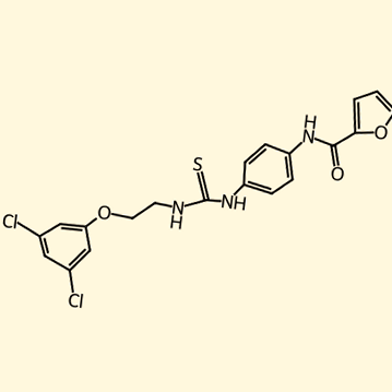 O=C(Nc1ccc(NC(=S)NCCOc2cc(Cl)cc(Cl)c2)cc1)c1ccco1